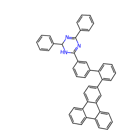 c1ccc(C2=NC(c3ccccc3)NC(c3cccc(-c4ccccc4-c4ccc5c6ccccc6c6ccccc6c5c4)c3)=N2)cc1